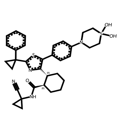 N#CC1(NC(=O)[C@@H]2CCCC[C@H]2c2nc(C3(c4ccccc4)CC3)sc2-c2ccc(N3CCS(O)(O)CC3)cc2)CC1